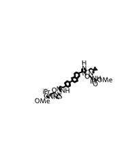 COC(=O)N[C@H](C(=O)N1CCS[C@H]1C1=NCC(c2ccc(-c3ccc4cc(-c5c[nH]c([C@@H]6CC7(CC7)CN6C(=O)[C@@H](NC(=O)OC)C(C)C)n5)ccc4c3)cc2)N1)C(C)C